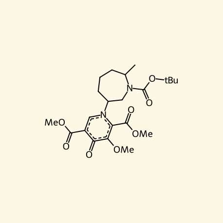 COC(=O)c1cn(C2CCCC(C)N(C(=O)OC(C)(C)C)C2)c(C(=O)OC)c(OC)c1=O